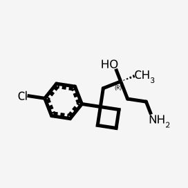 C[C@](O)(CCN)CC1(c2ccc(Cl)cc2)CCC1